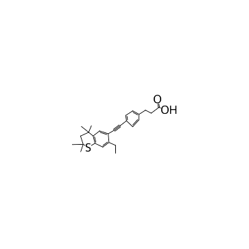 CCc1cc2c(cc1C#Cc1ccc(CCC(=O)O)cc1)C(C)(C)CC(C)(C)S2